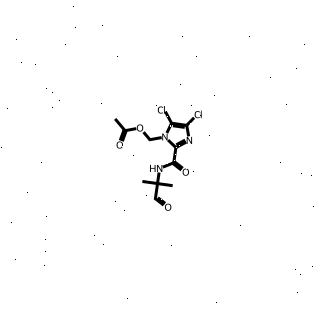 CC(=O)OCn1c(C(=O)NC(C)(C)C=O)nc(Cl)c1Cl